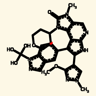 COc1nn(C)cc1-c1[nH]c2ncc3c(c2c1-c1ccc2c(cnn2C(O)(O)O)c1)n(C1CCOCC1)c(=O)n3C